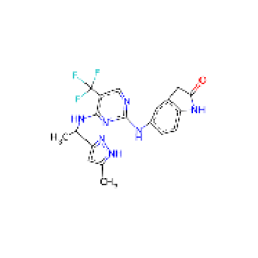 Cc1cc(C(C)Nc2nc(Nc3ccc4c(c3)CC(=O)N4)ncc2C(F)(F)F)n[nH]1